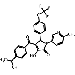 Cc1ccc(N2C(=O)C(O)=C(C(=O)c3ccc(C(C)C)cc3)C2c2ccc(OC(F)(F)F)cc2)cn1